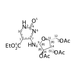 CCOC(=O)c1c[nH]c(=O)nc1N[C@@H]1O[C@H](COC(C)=O)[C@H](OC(C)=O)[C@H]1OC(C)=O